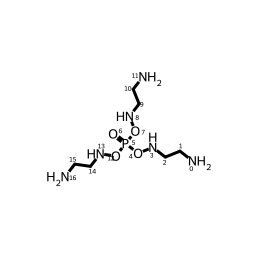 NCCNOP(=O)(ONCCN)ONCCN